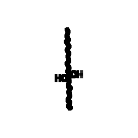 C=CC=CC=CC=CC=C(O)C(O)CCCCCCCCCCCCC